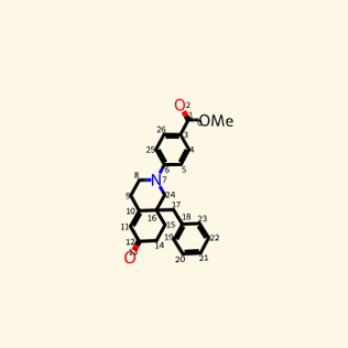 COC(=O)c1ccc(N2CCC3=CC(=O)CCC3(Cc3ccccc3)C2)cc1